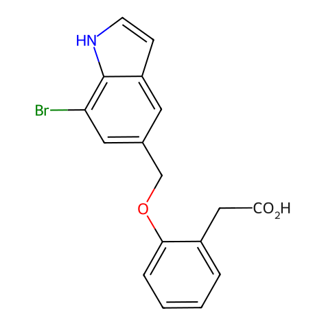 O=C(O)Cc1ccccc1OCc1cc(Br)c2[nH]ccc2c1